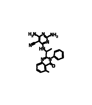 Cc1cccc2nc(C(C)Nc3nc(N)nc(N)c3C#N)n(-c3ccccc3)c(=O)c12